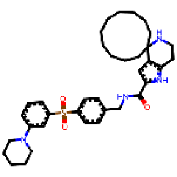 O=C(NCc1ccc(S(=O)(=O)c2cccc(N3CCCCC3)c2)cc1)c1cc2c([nH]1)CCNC21CCCCCCCCCC1